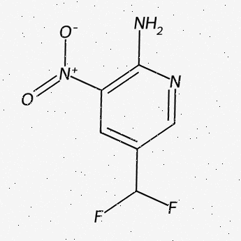 Nc1ncc(C(F)F)cc1[N+](=O)[O-]